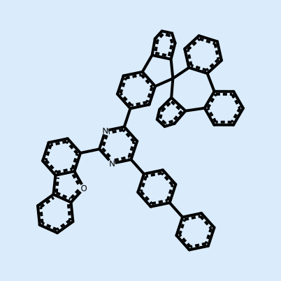 c1ccc(-c2ccc(-c3cc(-c4ccc5c(c4)C4(c6ccccc6-c6ccccc6-c6ccccc64)c4ccccc4-5)nc(-c4cccc5c4oc4ccccc45)n3)cc2)cc1